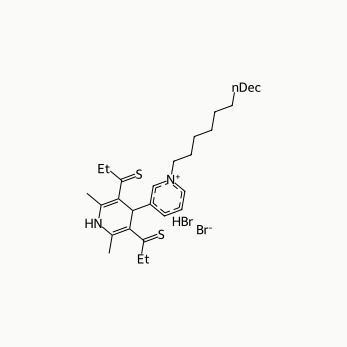 Br.CCCCCCCCCCCCCCCC[n+]1cccc(C2C(C(=S)CC)=C(C)NC(C)=C2C(=S)CC)c1.[Br-]